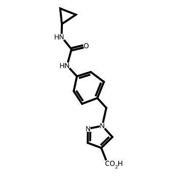 O=C(Nc1ccc(Cn2cc(C(=O)O)cn2)cc1)NC1CC1